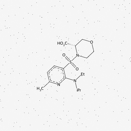 CCN(c1nc(C)ccc1S(=O)(=O)N1CCOC[C@H]1C(=O)O)C(C)C